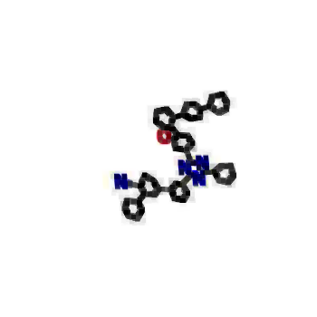 N#Cc1ccc(-c2cccc(-c3nc(-c4ccccc4)nc(-c4ccc5c(c4)oc4cccc(-c6ccc(-c7ccccc7)cc6)c45)n3)c2)cc1-c1ccccc1